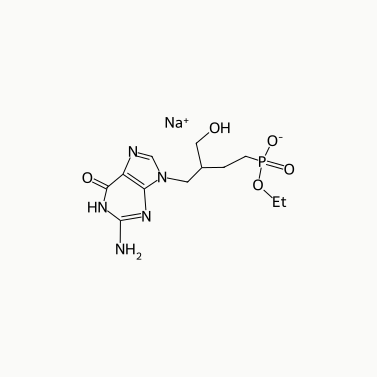 CCOP(=O)([O-])CCC(CO)Cn1cnc2c(=O)[nH]c(N)nc21.[Na+]